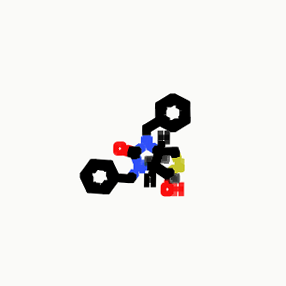 O=C1N(Cc2ccccc2)[C@@H]2[C@@H](CS[C@@H]2O)N1Cc1ccccc1